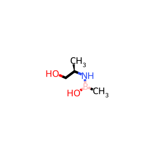 CB(O)N[C@H](C)CO